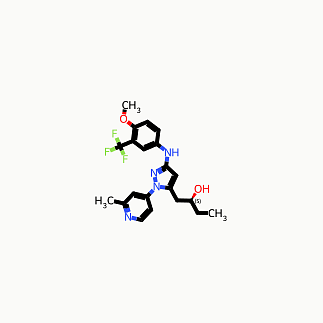 CC[C@H](O)Cc1cc(Nc2ccc(OC)c(C(F)(F)F)c2)nn1-c1ccnc(C)c1